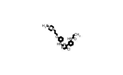 C=CC(=O)Nc1cccc(-c2nc(Nc3cccc(OCCCN4CCN(C)CC4)c3)ncc2Cl)c1